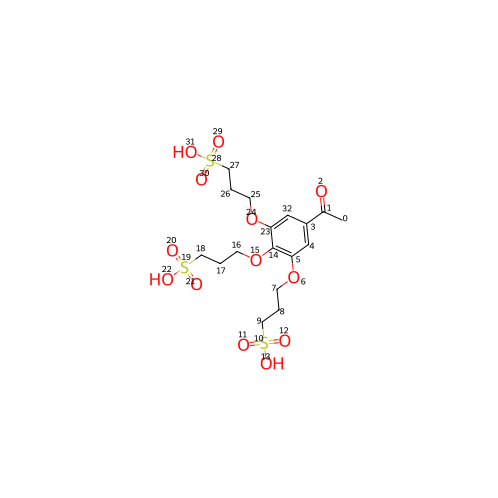 CC(=O)c1cc(OCCCS(=O)(=O)O)c(OCCCS(=O)(=O)O)c(OCCCS(=O)(=O)O)c1